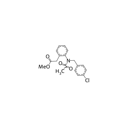 COC(=O)Cc1ccccc1N(Cc1ccc(Cl)cc1)S(C)(=O)=O